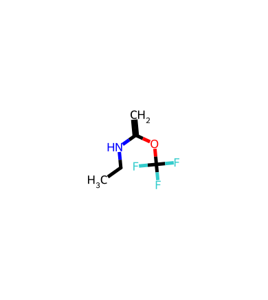 C=C(NCC)OC(F)(F)F